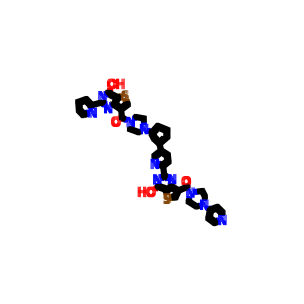 O=C(c1csc2c(O)nc(-c3ccc(-c4cccc(N5CCN(C(=O)c6csc7c(O)nc(-c8ccccn8)nc67)CC5)c4)cn3)nc12)N1CCN(c2ccncc2)CC1